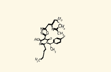 C/C=C(/Cc1nnc(-c2c(O)nc(CCCC)n([C@@H](C)c3ccc(F)cc3)c2=O)o1)N=C(C)C